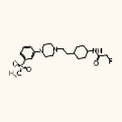 CS(=O)(=O)c1cccc(N2CCN(CCC3CCC(NC(=O)CF)CC3)CC2)c1